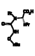 CCCCONC(=O)N(CC)[C@@H](CCC)C(=O)O